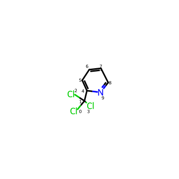 ClC(Cl)(Cl)c1cc[c]cn1